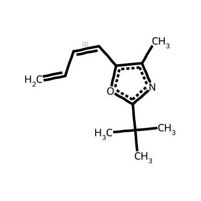 C=C/C=C\c1oc(C(C)(C)C)nc1C